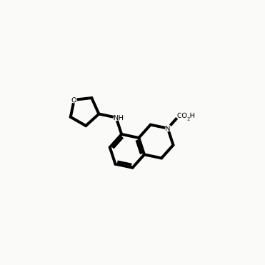 O=C(O)N1CCc2cccc(NC3CCOC3)c2C1